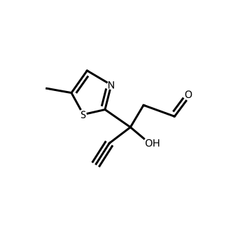 C#CC(O)(CC=O)c1ncc(C)s1